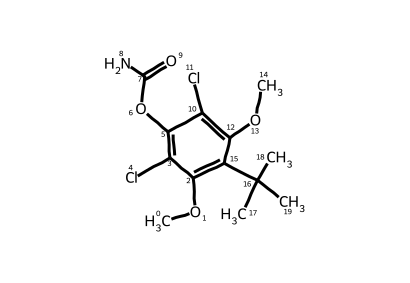 COc1c(Cl)c(OC(N)=O)c(Cl)c(OC)c1C(C)(C)C